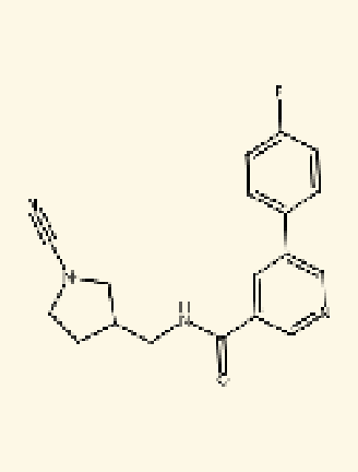 N#CN1CCC(CNC(=O)c2cncc(-c3ccc(F)cc3)c2)C1